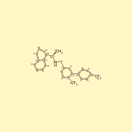 C[C@@H](NCc1ccc(C(F)(F)F)c(-c2ccc(C(F)(F)F)cc2)c1)c1cccc2ccccc12